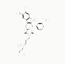 C[C@@]12Cc3c([nH]c4cc(F)c(Cl)cc34)[C@@H](C3=CCCC(O)=C3)N1C(=O)N(CCCNCCO)C2=O